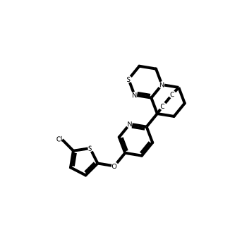 Clc1ccc(Oc2ccc(C34CCC(CC3)N3CCSN=C34)nc2)s1